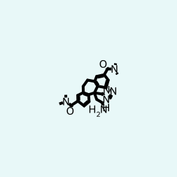 CN(C)C(=O)c1ccc2c(c1)CCc1cc(C(=O)N(C)C)ccc1C2(CCN)c1nnc[nH]1